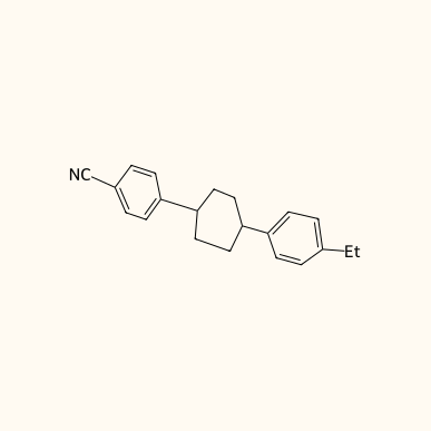 CCc1ccc(C2CCC(c3ccc(C#N)cc3)CC2)cc1